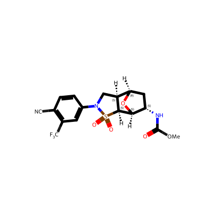 COC(=O)N[C@H]1C[C@H]2O[C@@H]1[C@@H]1[C@H]2CN(c2ccc(C#N)c(C(F)(F)F)c2)S1(=O)=O